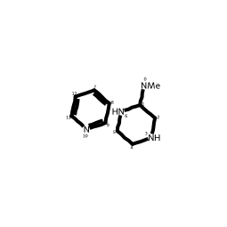 CNC1CNCCN1.c1ccncc1